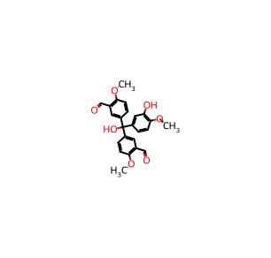 COc1ccc(C(O)(c2ccc(OC)c(C=O)c2)c2ccc(OC)c(C=O)c2)cc1O